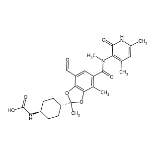 Cc1cc(C)c(N(C)C(=O)c2cc(C=O)c3c(c2C)OC(C)([C@H]2CC[C@H](NC(=O)O)CC2)O3)c(=O)[nH]1